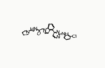 O=C(Cn1ccc2c(-c3ccnc(Nc4cccc(Cl)c4)n3)cccc21)NCCN1CCCC1